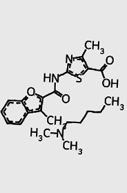 CCCCCN(C)C.Cc1nc(NC(=O)c2oc3ccccc3c2C)sc1C(=O)O